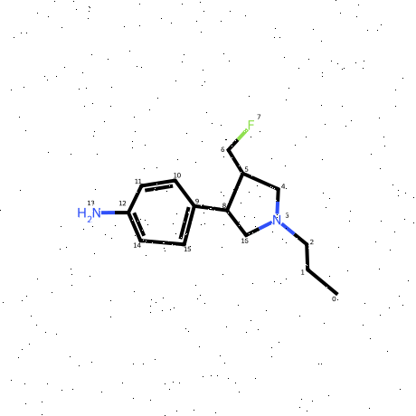 CCCN1CC(CF)C(c2ccc(N)cc2)C1